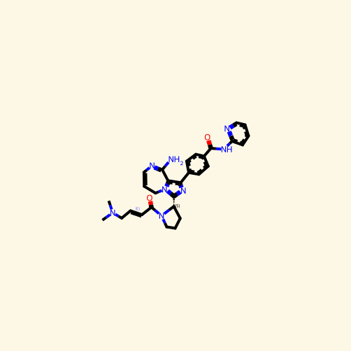 CN(C)C/C=C/C(=O)N1CCC[C@H]1c1nc(-c2ccc(C(=O)Nc3ccccn3)cc2)c2n1CC=CN=C2N